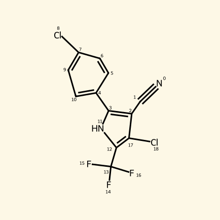 N#Cc1c(-c2ccc(Cl)cc2)[nH]c(C(F)(F)F)c1Cl